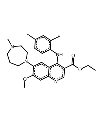 CCOC(=O)c1cnc2cc(OC)c(N3CCCN(C)CC3)cc2c1Nc1ccc(F)cc1F